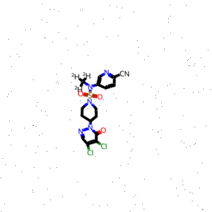 [2H]C([2H])([2H])N(c1ccc(C#N)nc1)S(=O)(=O)N1CCC(n2ncc(Cl)c(Cl)c2=O)CC1